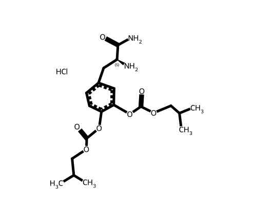 CC(C)COC(=O)Oc1ccc(C[C@H](N)C(N)=O)cc1OC(=O)OCC(C)C.Cl